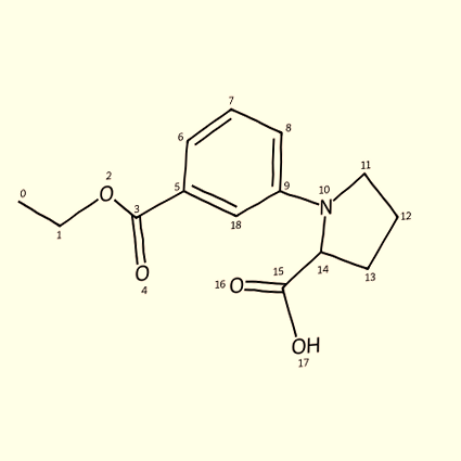 CCOC(=O)c1cccc(N2CCCC2C(=O)O)c1